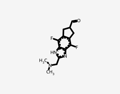 CN(C)Cc1nc2c(F)c3c(c(F)c2[nH]1)CC(C=O)C3